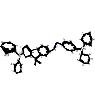 CC1(C)c2cc(/C=C/c3ccc(N(c4ccccc4)C4C=CC=CC4)cc3)ccc2C2=CC=C(N(c3ccccc3)c3ccccc3)CC21